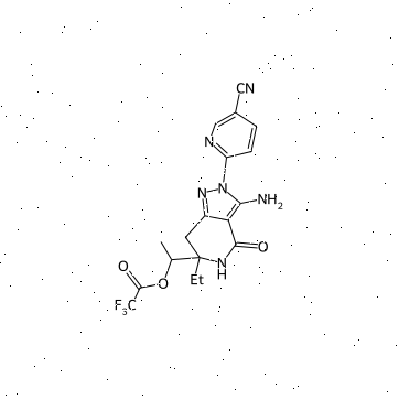 CCC1(C(C)OC(=O)C(F)(F)F)Cc2nn(-c3ccc(C#N)cn3)c(N)c2C(=O)N1